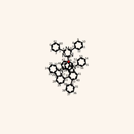 c1ccc(-c2nc(-c3ccccc3)nc(-c3cccc(-n4c5ccccc5c5cccc(-c6c(-c7ccccc7)ccc7c6c6ccccc6n7-c6ccccc6)c54)c3)n2)cc1